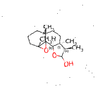 C[C@H]1C(O)O[C@H]2C34OC3(C)CCC[C@]4(C)CC[C@@]12C